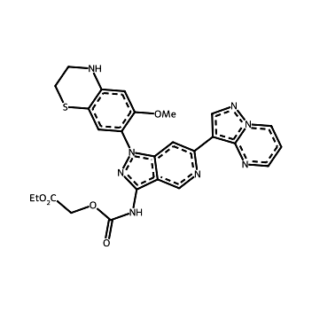 CCOC(=O)COC(=O)Nc1nn(-c2cc3c(cc2OC)NCCS3)c2cc(-c3cnn4cccnc34)ncc12